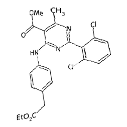 CCOC(=O)Cc1ccc(Nc2nc(-c3c(Cl)cccc3Cl)nc(C)c2C(=O)OC)cc1